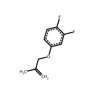 C=C(C)COc1ccc(F)c(F)c1